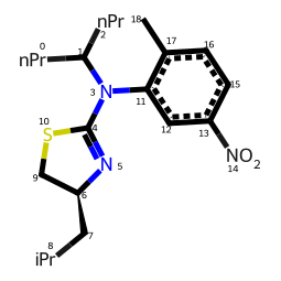 CCCC(CCC)N(C1=N[C@@H](CC(C)C)CS1)c1cc([N+](=O)[O-])ccc1C